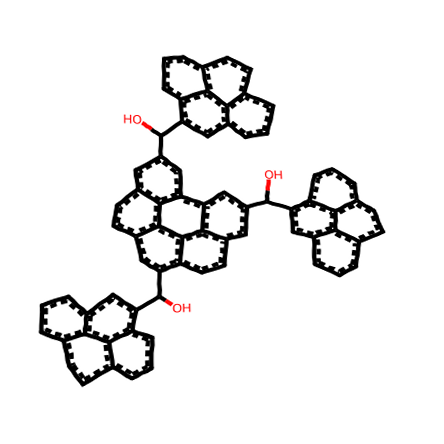 OC(c1cc2ccc3cc(C(O)c4cc5cccc6ccc7cccc4c7c65)c4ccc5cc(C(O)c6cc7cccc8ccc9cccc6c9c87)cc6c(c1)c2c3c4c56)c1cc2cccc3ccc4cccc1c4c32